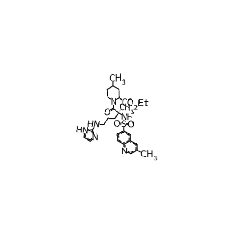 CCOC(=O)C1CC(C)CCN1C(=O)[C@](C)(CCCNc1ncc[nH]1)NS(=O)(=O)c1ccc2ncc(C)cc2c1